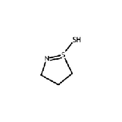 SS1=NCCC1